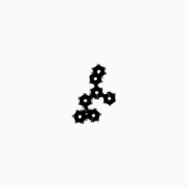 c1ccc(-c2cc(-c3ccc4ccccc4c3)cc(-c3cccc(-n4c5ccccc5c5ncccc54)c3)n2)nc1